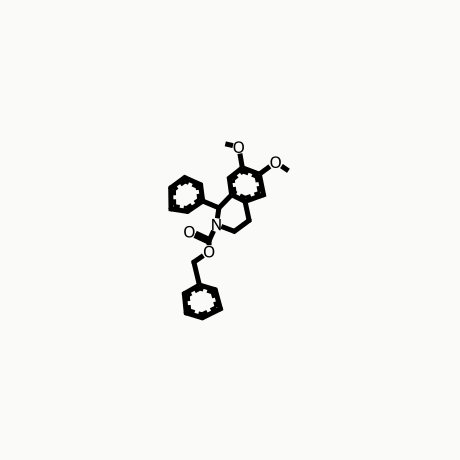 COc1cc2c(cc1OC)C(c1ccccc1)N(C(=O)OCc1ccccc1)CC2